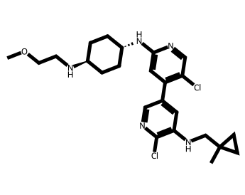 COCCN[C@H]1CC[C@H](Nc2cc(-c3cnc(Cl)c(NCC4(C)CC4)c3)c(Cl)cn2)CC1